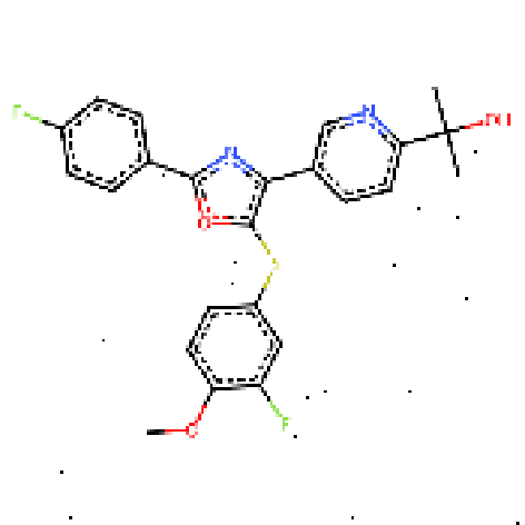 COc1ccc(Sc2oc(-c3ccc(F)cc3)nc2-c2ccc(C(C)(C)O)nc2)cc1F